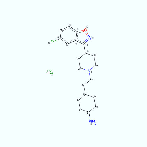 Cl.NC1CCC(CCN2CCC(c3noc4ccc(F)cc34)CC2)CC1